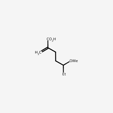 C=C(CCC(CC)OC)C(=O)O